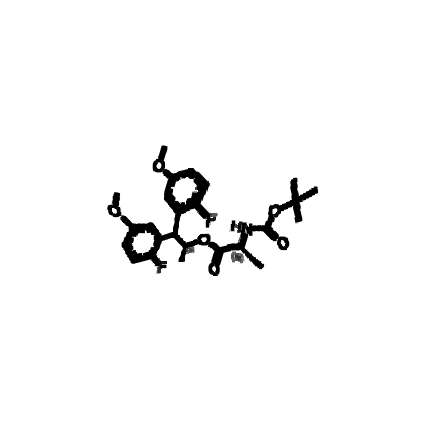 COc1ccc(F)c(C(c2cc(OC)ccc2F)[C@H](C)OC(=O)[C@H](C)NC(=O)OC(C)(C)C)c1